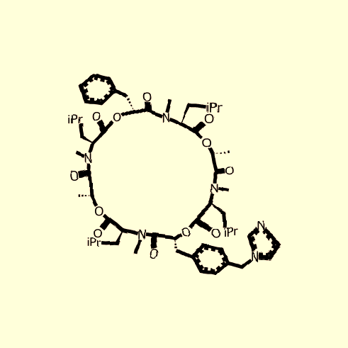 CC(C)C[C@H]1C(=O)O[C@H](Cc2ccc(Cn3ccnc3)cc2)C(=O)N(C)[C@@H](CC(C)C)C(=O)O[C@H](C)C(=O)N(C)[C@@H](CC(C)C)C(=O)O[C@H](Cc2ccccc2)C(=O)N(C)[C@@H](CC(C)C)C(=O)O[C@H](C)C(=O)N1C